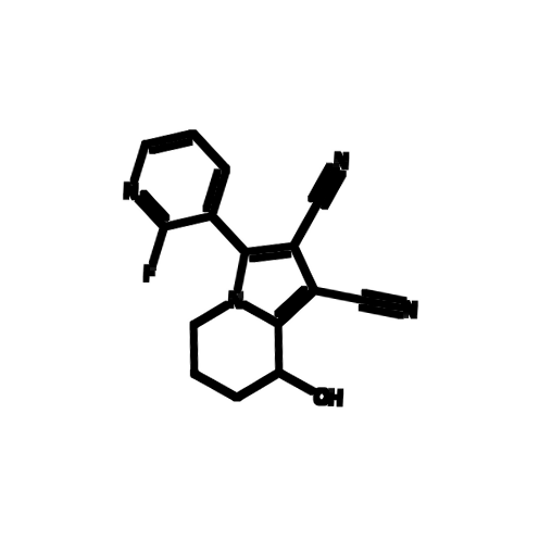 N#Cc1c(C#N)c2n(c1-c1cccnc1F)CCCC2O